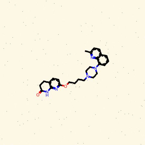 Cc1ccc2cccc(N3CCN(CCCCOc4ccc5c(n4)NC(=O)CC5)CC3)c2n1